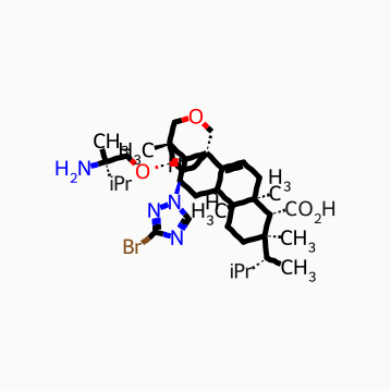 CC(C)[C@@H](C)[C@@]1(C)CC[C@]2(C)[C@H]3CC[C@@H]4[C@@]5(COC[C@@]4(C)[C@@H](OC[C@](C)(N)C(C)C)[C@H](n4cnc(Br)n4)C5)C3=CC[C@@]2(C)[C@@H]1C(=O)O